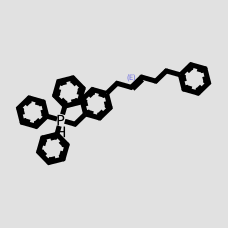 C(=C\Cc1ccc(C[PH](c2ccccc2)(c2ccccc2)c2ccccc2)cc1)/CCc1ccccc1